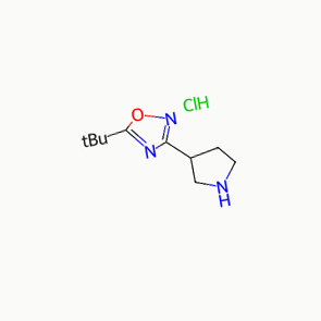 CC(C)(C)c1nc(C2CCNC2)no1.Cl